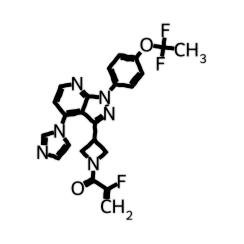 C=C(F)C(=O)N1CC(c2nn(-c3ccc(OC(C)(F)F)cc3)c3nccc(-n4ccnc4)c23)C1